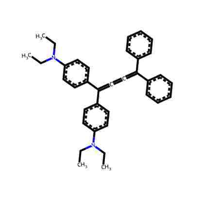 CCN(CC)c1ccc(C(=C=C=C(c2ccccc2)c2ccccc2)c2ccc(N(CC)CC)cc2)cc1